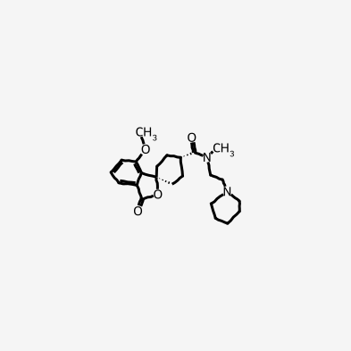 COc1cccc2c1[C@]1(CC[C@@H](C(=O)N(C)CCN3CCCCC3)CC1)OC2=O